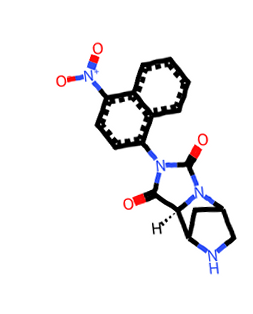 O=C1[C@@H]2C3CC(CN3)N2C(=O)N1c1ccc([N+](=O)[O-])c2ccccc12